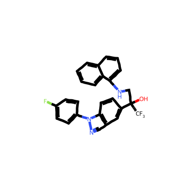 OC(CNc1cccc2ccccc12)(c1ccc2c(cnn2-c2ccc(F)cc2)c1)C(F)(F)F